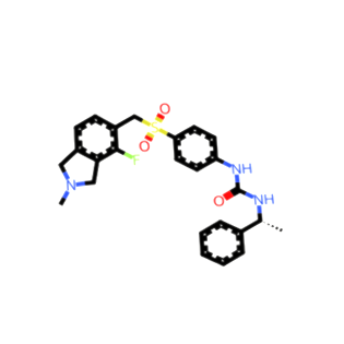 C[C@@H](NC(=O)Nc1ccc(S(=O)(=O)Cc2ccc3c(c2F)CN(C)C3)cc1)c1ccccc1